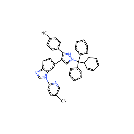 N#Cc1ccc(-c2nn(C(c3ccccc3)(c3ccccc3)C3C=CC=CC3)cc2-c2ccc3ncn(-c4ccc(C#N)cn4)c3c2)cc1